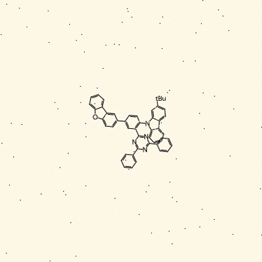 CC(C)(C)c1ccc2c3ccccc3n(-c3ccc(-c4ccc5oc6ccccc6c5c4)cc3-c3nc(-c4ccccc4)nc(-c4ccccc4)n3)c2c1